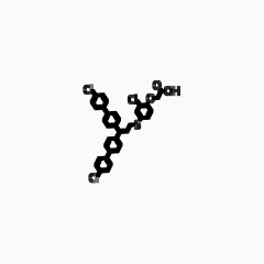 O=C(O)COc1ccc(SCC=C(c2ccc(-c3ccc(Cl)cc3)cc2)c2ccc(-c3ccc(Cl)cc3)cc2)cc1Cl